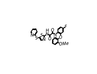 COc1ccccc1Oc1cc(F)ccc1NC(=O)C(=O)Nc1ncc(Sc2ccccn2)s1